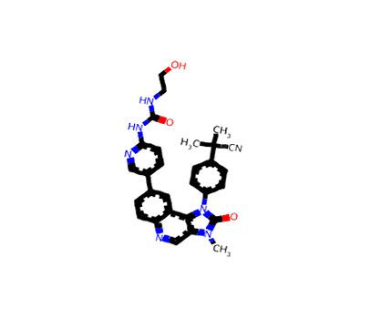 Cn1c(=O)n(-c2ccc(C(C)(C)C#N)cc2)c2c3cc(-c4ccc(NC(=O)NCCO)nc4)ccc3ncc21